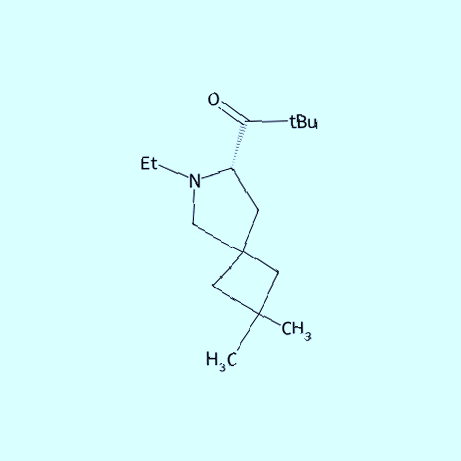 CCN1CC2(C[C@H]1C(=O)C(C)(C)C)CC(C)(C)C2